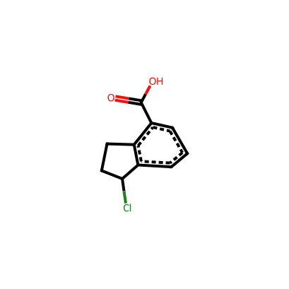 O=C(O)c1cccc2c1CCC2Cl